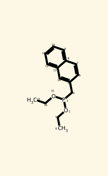 CCOP(Cc1ccc2ccccc2c1)OCC